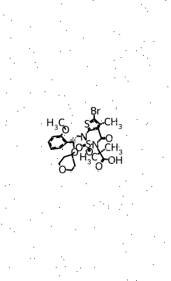 COc1ccccc1[C@H](CN1c2sc(Br)c(C)c2C(=O)N(C(C)(C)C(=O)O)S1(=O)=O)OC1CCOCC1